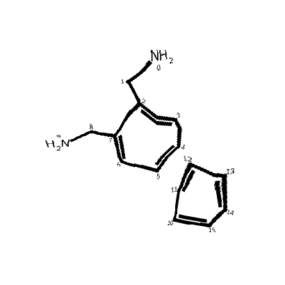 NCc1ccccc1CN.c1ccccc1